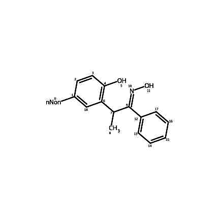 CCCCCCCCCc1ccc(O)c(C(C)C(=NO)c2ccccc2)c1